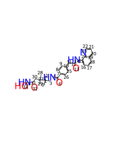 CC(C)(CNC(=O)c1ccc(CC(=O)Nc2cccc3cccnc23)cc1)C(C)(C)CC(=O)NO